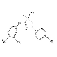 CC(O)(COc1ccc(N)cc1)C(=O)Nc1ccc(C#N)c(C(F)(F)F)c1